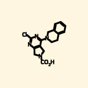 O=C(O)N1Cc2nc(Cl)nc(N3CCc4ccccc4C3)c2C1